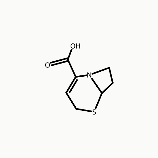 O=C(O)C1=CCSC2CCN12